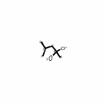 CC(C)CC(C)([O])Cl